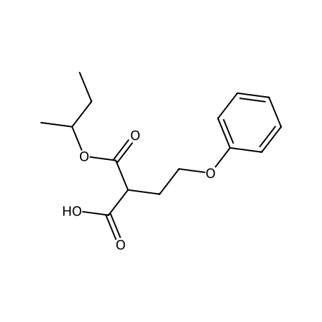 CCC(C)OC(=O)C(CCOc1ccccc1)C(=O)O